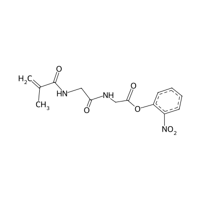 C=C(C)C(=O)NCC(=O)NCC(=O)Oc1ccccc1[N+](=O)[O-]